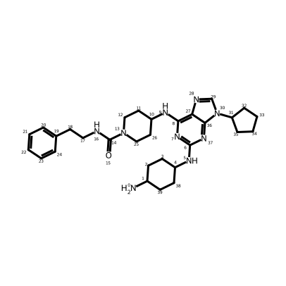 NC1CCC(Nc2nc(NC3CCN(C(=O)NCCc4ccccc4)CC3)c3ncn(C4CCCC4)c3n2)CC1